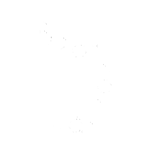 O=C1CCC(N2Cc3c(ccc(C4(O)CCN(Cc5ccc(N6CCC(Nc7ncc(C8CC8)cn7)CC6)cc5)CC4)c3F)C2=O)C(=O)N1